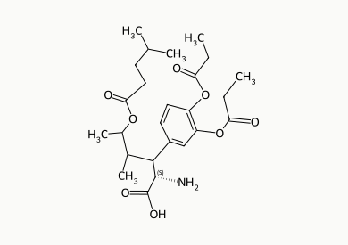 CCC(=O)Oc1ccc(C(C(C)C(C)OC(=O)CCC(C)C)[C@H](N)C(=O)O)cc1OC(=O)CC